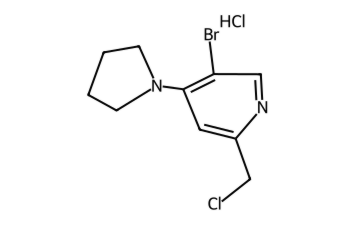 Cl.ClCc1cc(N2CCCC2)c(Br)cn1